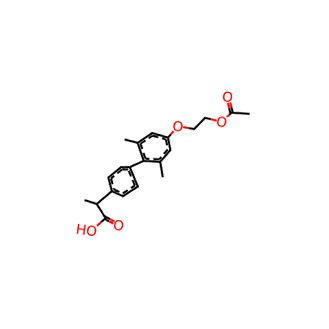 CC(=O)OCCOc1cc(C)c(-c2ccc(C(C)C(=O)O)cc2)c(C)c1